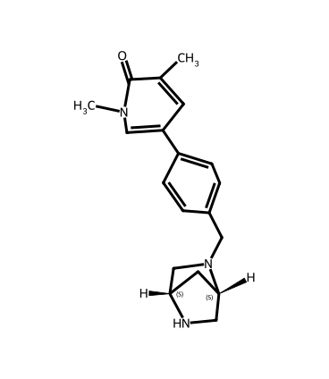 Cc1cc(-c2ccc(CN3C[C@@H]4C[C@H]3CN4)cc2)cn(C)c1=O